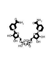 NC(=O)C1=CN(C2O[C@H](COP(=O)(O)OP(=O)(O)OC[C@H]3O[C@@H](N4C=CCC(C(N)=O)=C4)[C@H](O)[C@@H]3O)[C@@H](O)[C@H]2O)C=CC1